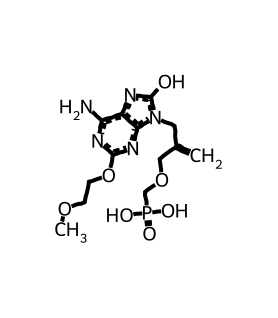 C=C(COCP(=O)(O)O)Cn1c(O)nc2c(N)nc(OCCOC)nc21